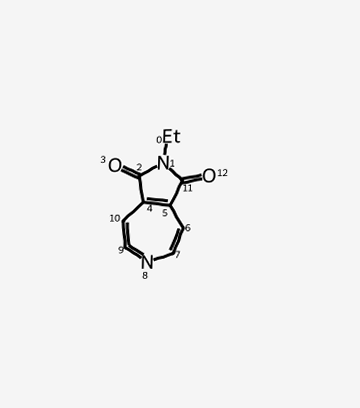 CCN1C(=O)C2=C(C=CN=C=C2)C1=O